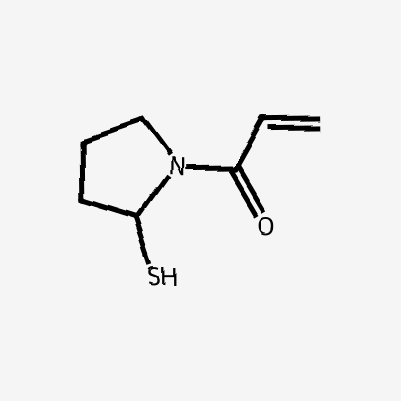 C=CC(=O)N1CCCC1S